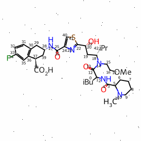 CCC(C)C(NC(=O)C1CCCCN1C)C(=O)N(CCOC)[C@H](C[C@@H](O)c1nc(C(=O)N[C@H]2Cc3ccc(F)cc3[C@H](C(=O)O)C2)cs1)C(C)C